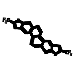 FC(F)(F)c1cc2cc3c(ccc4c5cc6cc(C(F)(F)F)sc6cc5ccc34)cc2s1